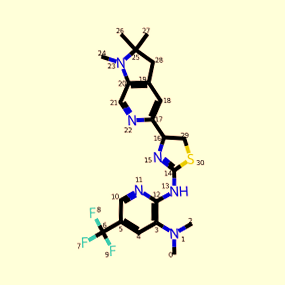 CN(C)c1cc(C(F)(F)F)cnc1NC1=NC(c2cc3c(cn2)N(C)C(C)(C)C3)CS1